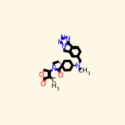 CC1=C(N2CC[C@]3(CC[C@H](N(C)CC4C=C5Cn6nnnc6C5=CC4)CC3)C2=O)COC1=O